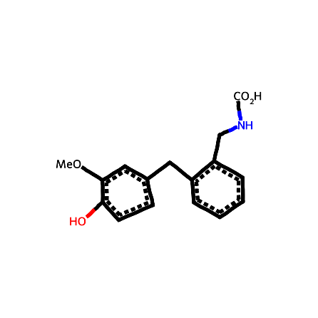 COc1cc(Cc2ccccc2CNC(=O)O)ccc1O